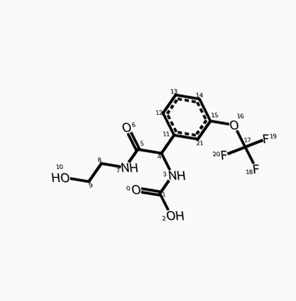 O=C(O)NC(C(=O)NCCO)c1cccc(OC(F)(F)F)c1